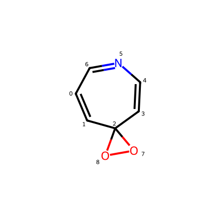 C1=CC2(C=CN=C1)OO2